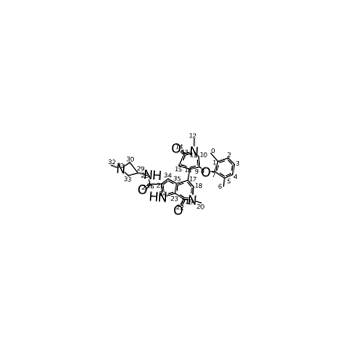 Cc1cccc(C)c1Oc1cn(C)c(=O)cc1-c1cn(C)c(=O)c2[nH]c(C(=O)NC3CN(C)C3)cc12